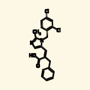 Cc1ncc(C=C(Cc2ccccc2)C(=O)O)n1Cc1ccc(Cl)cc1Cl